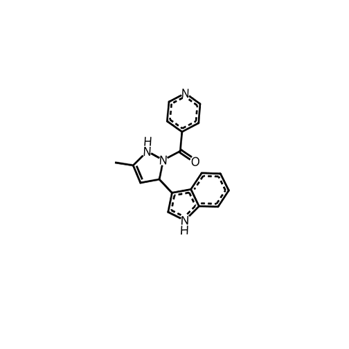 CC1=CC(c2c[nH]c3ccccc23)N(C(=O)c2ccncc2)N1